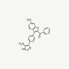 Nc1[nH]cnc1-c1ccc(-c2c(C(=O)c3ccccc3)sc3cc(O)ccc23)cc1